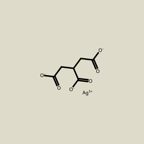 O=C([O-])CC(CC(=O)[O-])C(=O)[O-].[Ag+3]